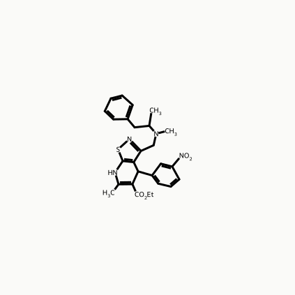 CCOC(=O)C1=C(C)Nc2snc(CN(C)C(C)Cc3ccccc3)c2C1c1cccc([N+](=O)[O-])c1